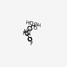 O=C(O)C(O)C1CCN(c2nncc(-c3ccc(F)cc3)n2)CC1